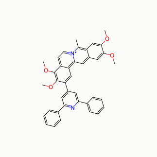 COc1cc2cc3c4cc(-c5cc(-c6ccccc6)nc(-c6ccccc6)c5)c(OC)c(OC)c4cc[n+]3c(C)c2cc1OC